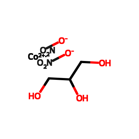 O=[N+]([O-])[O-].O=[N+]([O-])[O-].OCC(O)CO.[Co+2]